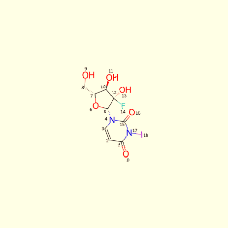 O=c1ccn([C@@H]2O[C@H](CO)[C@@H](O)[C@@]2(O)F)c(=O)n1I